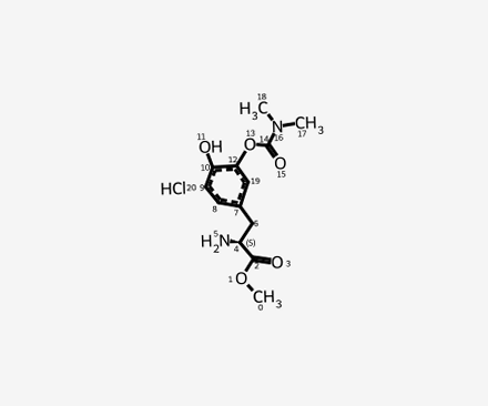 COC(=O)[C@@H](N)Cc1ccc(O)c(OC(=O)N(C)C)c1.Cl